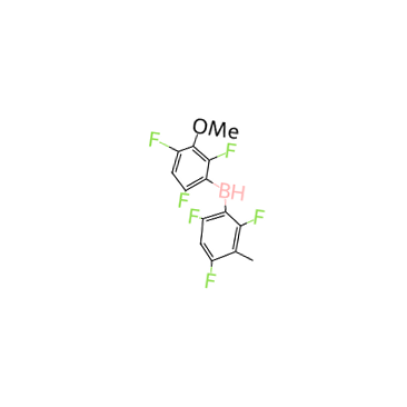 COc1c(F)cc(F)c(Bc2c(F)cc(F)c(C)c2F)c1F